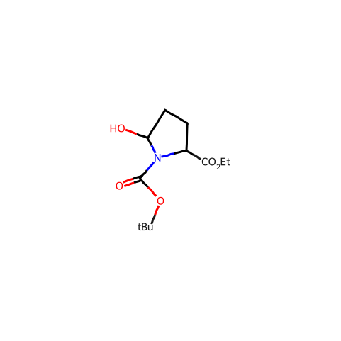 CCOC(=O)C1CCC(O)N1C(=O)OC(C)(C)C